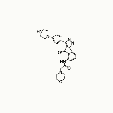 O=C(CN1CCOCC1)Nc1cccc2c1C(=O)C1=C(c3ccc(N4CCNCC4)cc3)N=NC12